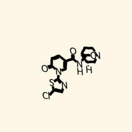 O=C(N[C@@H]1CN2CCC1CC2)c1ccc(=O)n(-c2ncc(Cl)s2)c1